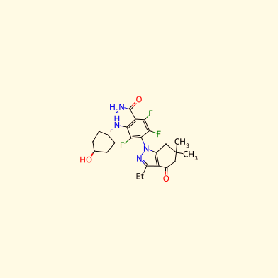 CCc1nn(-c2c(F)c(F)c(C(N)=O)c(N[C@H]3CC[C@H](O)CC3)c2F)c2c1C(=O)CC(C)(C)C2